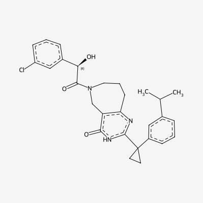 CC(C)c1cccc(C2(c3nc4c(c(=O)[nH]3)CN(C(=O)[C@H](O)c3cccc(Cl)c3)CCC4)CC2)c1